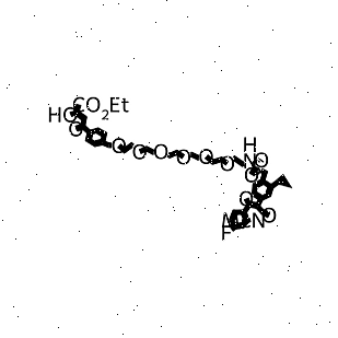 CCOC(=O)/C(O)=C/C(=O)c1ccc(COCCOCCOCCOCCOCCOCCNS(=O)(=O)Cc2cc3oc(-c4ccc(F)cc4)c(C(=O)NC)c3cc2C2CC2)cc1